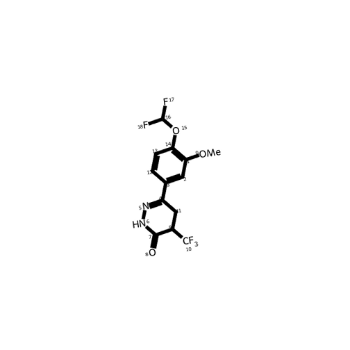 COc1cc(C2=NNC(=O)C(C(F)(F)F)C2)ccc1OC(F)F